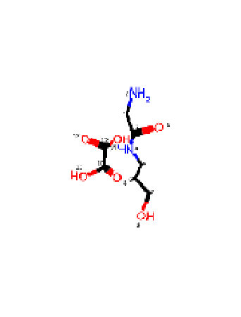 NCC(=O)NCCCO.O=C(O)C(=O)O